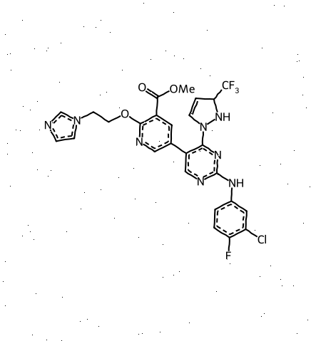 COC(=O)c1cc(-c2cnc(Nc3ccc(F)c(Cl)c3)nc2N2C=CC(C(F)(F)F)N2)cnc1OCCn1ccnc1